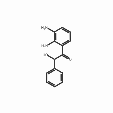 Nc1cccc(C(=O)C(O)c2ccccc2)c1N